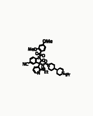 CCOc1ncccc1C1(NC(=O)N2CCC(C3CCN(C(C)C)CC3)CC2)C(=O)N(S(=O)(=O)c2ccc(OC)cc2OC)c2ccc(C#N)cc21